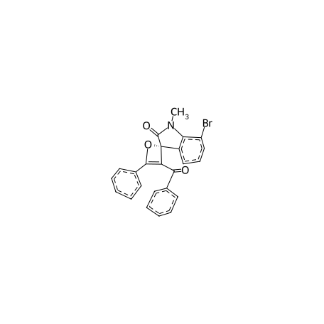 CN1C(=O)[C@@]2(OC(c3ccccc3)=C2C(=O)c2ccccc2)c2cccc(Br)c21